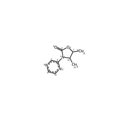 CC1OC(=O)N(c2cnccn2)C1C